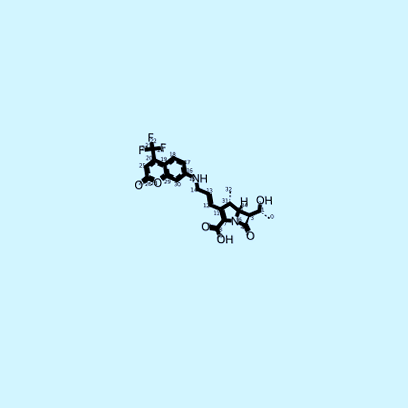 C[C@@H](O)[C@H]1C(=O)N2C(C(=O)O)=C(/C=C/CNc3ccc4c(C(F)(F)F)cc(=O)oc4c3)[C@H](C)[C@H]12